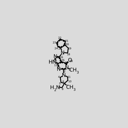 Cn1c(N2CCC(C)(CN)CC2)nc2[nH]nc(N3CCc4ccccc43)c2c1=O